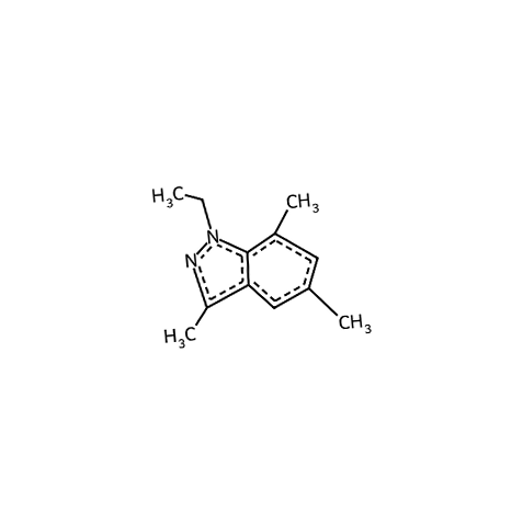 CCn1nc(C)c2cc(C)cc(C)c21